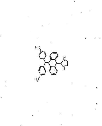 C[n+]1ccc(C(c2cc[n+](C)cc2)=c2c3ccccc3c(=C3NCCN3)c3ccccc23)cc1